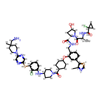 Cc1ncsc1-c1ccc(CNC(=O)[C@@H]2C[C@@H](O)CN2C(=O)[C@@H](NC(=O)C2(F)CC2)C(C)(C)C)c(OC2CCC(C(=O)N3CCC(Nc4cccc(Sc5cnc(N6CCC(C)(CN)CC6)cn5)c4Cl)CC3)CC2)c1